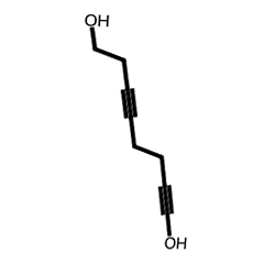 OC#CCCC#CCCO